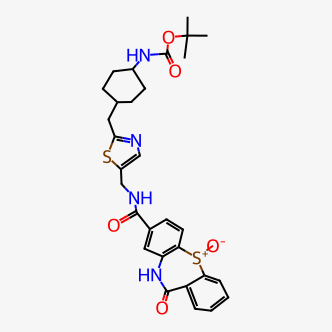 CC(C)(C)OC(=O)NC1CCC(Cc2ncc(CNC(=O)c3ccc4c(c3)NC(=O)c3ccccc3[S+]4[O-])s2)CC1